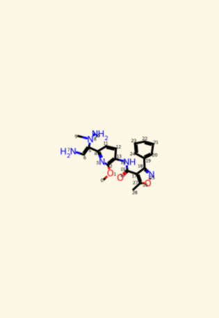 COc1nc(/C(=C/N)N(C)N)ccc1NC(=O)c1c(-c2ccccc2)noc1C